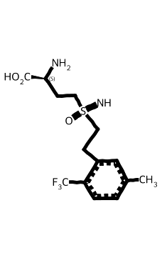 Cc1ccc(C(F)(F)F)c(CCS(=N)(=O)CC[C@H](N)C(=O)O)c1